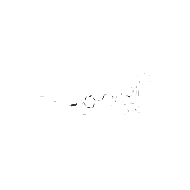 CC(CCN1CC=C(c2ccc(C#CCCCO)c(F)c2)CC1)(C(=O)NOC1CCCCO1)S(C)(=O)=O